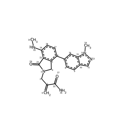 C=C(CN1Cc2c(-c3ccc4cnn(C)c4c3)ccc(NC)c2C1=O)C(N)=O